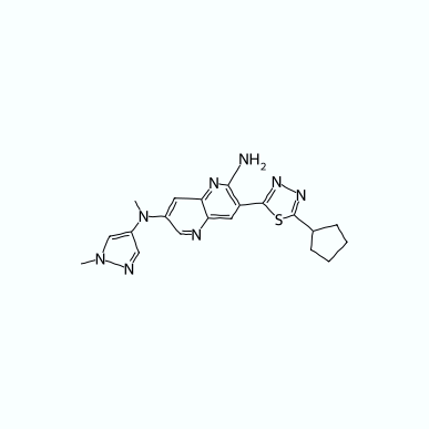 CN(c1cnc2cc(-c3nnc(C4CCCC4)s3)c(N)nc2c1)c1cnn(C)c1